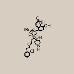 CC(C)(C)[Si](C)(C)OC(CNC(CCOCCc1ccccc1Cl)C1(O)CCNCC1)c1ccc(O)c2[nH]c(=O)ccc12